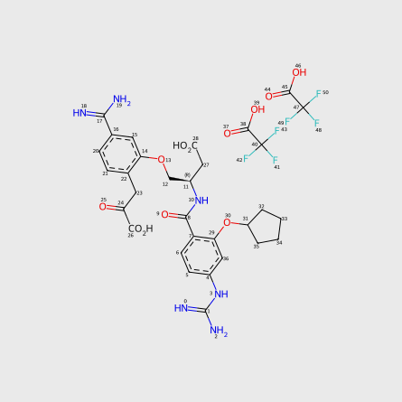 N=C(N)Nc1ccc(C(=O)N[C@@H](COc2cc(C(=N)N)ccc2CC(=O)C(=O)O)CC(=O)O)c(OC2CCCC2)c1.O=C(O)C(F)(F)F.O=C(O)C(F)(F)F